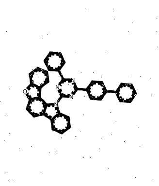 c1ccc(-c2ccc(-c3nc(-c4ccccc4)nc(-n4c5ccccc5c5ccc6oc7ccccc7c6c54)n3)cc2)cc1